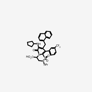 CCCN1CC(C(=O)O)n2c(c(-c3cccc(C(F)(F)F)c3)c(Cc3cccc4ccccc34)c(NC3CCCC3)c2=O)S1(=O)=O